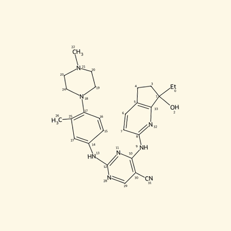 CCC1(O)CCc2ccc(Nc3nc(Nc4ccc(N5CCN(C)CC5)c(C)c4)ncc3C#N)nc21